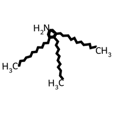 CCCCCCCCCCCCc1cc(N)cc(CCCCCCCCCCCC)c1CCCCCCCCCCCC